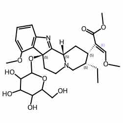 CC[C@@H]1CN2CC[C@@]3(OC4OC(CO)C(O)C(O)C4O)C(=Nc4cccc(OC)c43)[C@@H]2C[C@@H]1/C(=C\OC)C(=O)OC